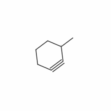 C[C]1C#CCCC1